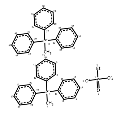 CCP(=O)([O-])[O-].C[P+](c1ccccc1)(c1ccccc1)c1ccccc1.C[P+](c1ccccc1)(c1ccccc1)c1ccccc1